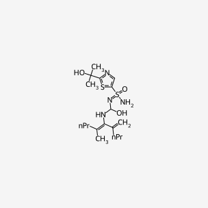 C=C(CCC)/C(NC(O)N=S(N)(=O)c1cnc(C(C)(C)O)s1)=C(\C)CCC